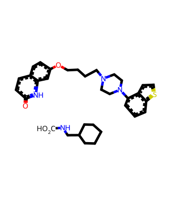 O=C(O)NCC1CCCCC1.O=c1ccc2ccc(OCCCCN3CCN(c4cccc5sccc45)CC3)cc2[nH]1